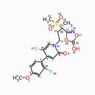 COc1ccc(-c2cc(=O)n(CC[C@](C)(C3=NOB(O)O3)S(C)(=O)=O)cc2F)c(F)c1